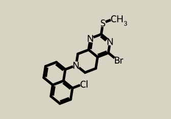 CSc1nc(Br)c2c(n1)CN(c1cccc3cccc(Cl)c13)CC2